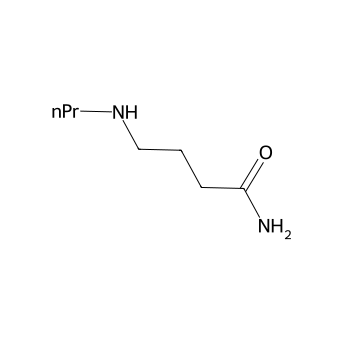 CCCNCCCC(N)=O